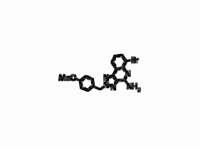 COc1ccc(Cn2nc3c(N)nc4c(Br)cccc4c3n2)cc1